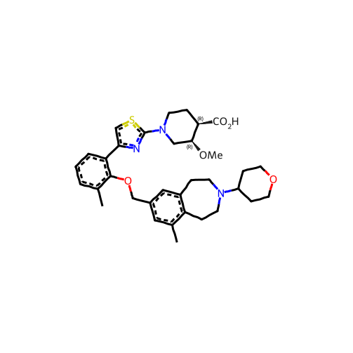 CO[C@H]1CN(c2nc(-c3cccc(C)c3OCc3cc(C)c4c(c3)CCN(C3CCOCC3)CC4)cs2)CC[C@H]1C(=O)O